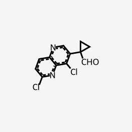 O=CC1(c2cnc3ccc(Cl)nc3c2Cl)CC1